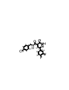 O=C(NCc1ccc(Cl)cc1)c1cc(-c2ccc(F)c(F)c2)n[nH]c1=O